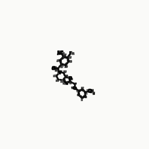 Cc1cccc(OCc2nc3c(o2)CN(C(=O)c2ccc(F)c(C#N)c2)CC3)c1